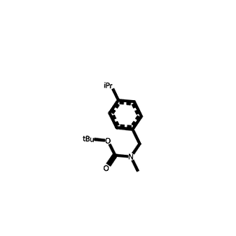 CC(C)c1ccc(CN(C)C(=O)OC(C)(C)C)cc1